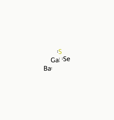 [Ba].[Ga].[S].[Se]